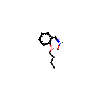 CCCCOc1ccccc1/C=N\O